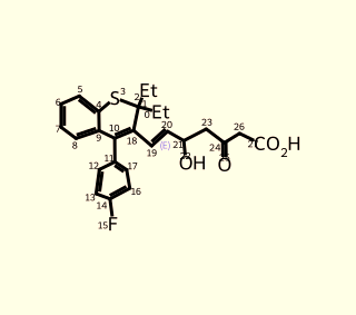 CCC1(CC)Sc2ccccc2C(c2ccc(F)cc2)=C1/C=C/C(O)CC(=O)CC(=O)O